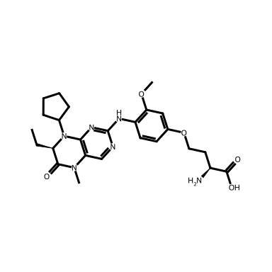 CC[C@@H]1C(=O)N(C)c2cnc(Nc3ccc(OCC[C@H](N)C(=O)O)cc3OC)nc2N1C1CCCC1